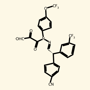 N#Cc1ccc([C@H](C=NN(C(=O)C(=O)[C]=O)c2ccc(OC(F)(F)F)cc2)c2cccc(C(F)(F)F)c2)cc1